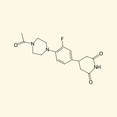 CC(=O)N1CCN(c2ccc(C3CC(=O)NC(=O)C3)cc2F)CC1